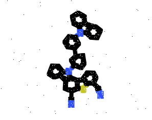 N#Cc1cccc2c1sc1c(C#N)cc3c4ccccc4n(-c4cccc(-c5cccc(-n6c7ccccc7c7ccccc76)c5)c4)c3c12